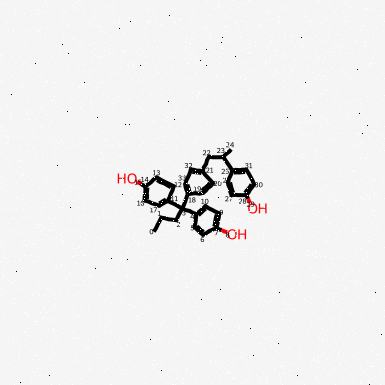 CCCC(c1ccc(O)cc1)(c1ccc(O)cc1)c1ccc(CC(C)c2ccc(O)cc2)cc1